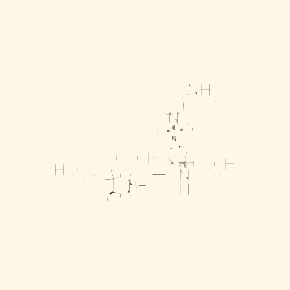 CN(CCN)S(=O)(=O)N1C[C@H](CCCB2OC(=O)C(CC(=O)O)(CC(=O)O)O2)[C@](N)(C(=O)O)C1